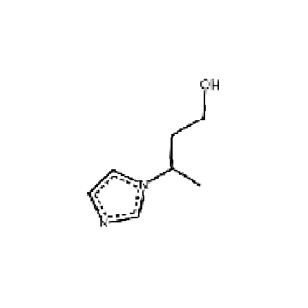 CC(CCO)n1ccnc1